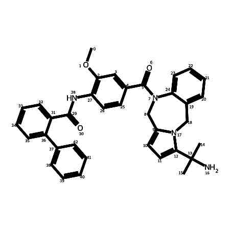 COc1cc(C(=O)N2Cc3ccc(C(C)(C)N)n3Cc3ccccc32)ccc1NC(=O)c1ccccc1-c1ccccc1